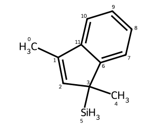 CC1=CC(C)([SiH3])c2ccccc21